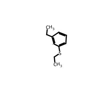 CCSc1[c]c(CC)ccc1